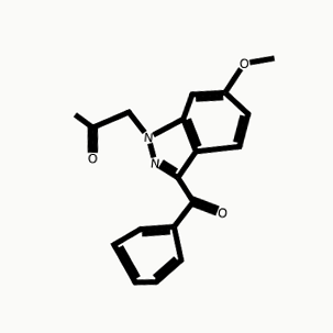 COc1ccc2c(C(=O)c3ccccc3)nn(CC(C)=O)c2c1